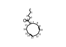 CCCCC(=O)C1CCC=CCCC=CCCC1